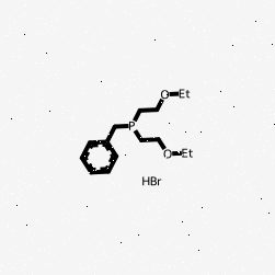 Br.CCOCCP(CCOCC)Cc1ccccc1